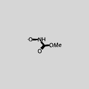 COC(=O)N[O]